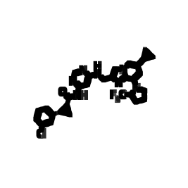 O=C(Nc1cc(NCc2cn3cc(C4CC4)cc(N4CCCC4C(F)(F)F)c3n2)ncn1)[C@H]1C[C@@H]1c1cccc(Cl)c1